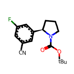 CC(C)(C)OC(=O)N1CCC[C@@H]1c1cc(F)cc(C#N)c1